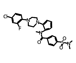 CN(C(=O)c1ccc(S(=O)(=O)N(C)C)cc1)c1ccccc1N1CCN(c2ccc(Cl)cc2F)CC1